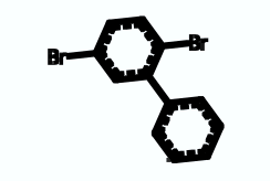 Brc1ccc(Br)c(-c2c[c]ccc2)c1